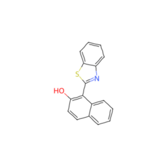 Oc1ccc2ccccc2c1-c1nc2ccccc2s1